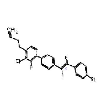 C=CCCc1ccc(-c2ccc(/C(F)=C(\F)c3ccc(CC)cc3)cc2)c(F)c1Cl